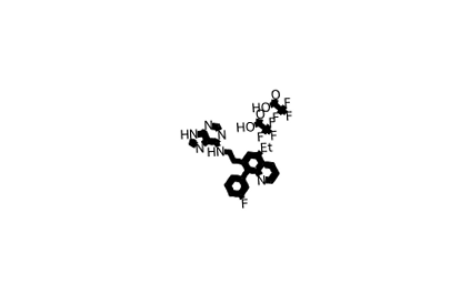 CCc1cc(CCNc2ncnc3[nH]cnc23)c(-c2cccc(F)c2)c2ncccc12.O=C(O)C(F)(F)F.O=C(O)C(F)(F)F